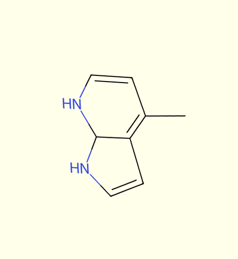 CC1=C2C=CNC2NC=C1